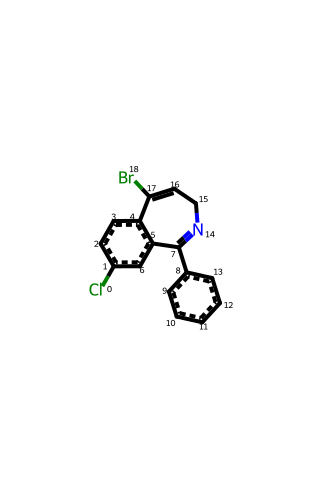 Clc1ccc2c(c1)C(c1ccccc1)=NCC=C2Br